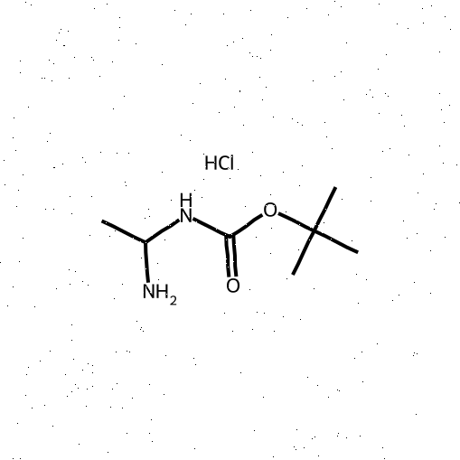 CC(N)NC(=O)OC(C)(C)C.Cl